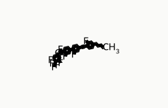 CCCCCc1ccc(C#Cc2ccc(-c3ccc(C(F)(F)OC4=CC(F)C(C(F)(F)F)C(F)=C4)c(F)c3)c(F)c2)c(F)c1